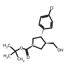 CC(C)(C)OC(=O)N1C[C@H](CO)[C@@H](c2ccc(Cl)cc2)C1